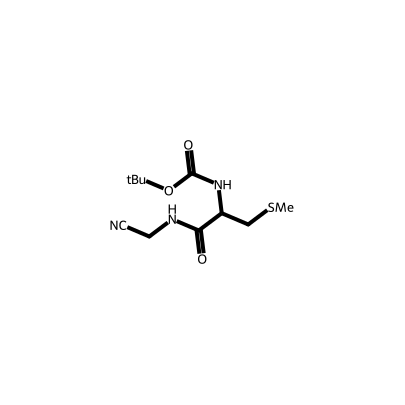 CSCC(NC(=O)OC(C)(C)C)C(=O)NCC#N